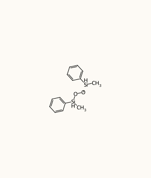 C[SiH](OO[SiH](C)c1ccccc1)c1ccccc1